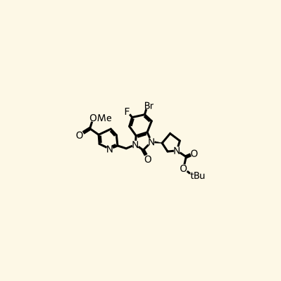 COC(=O)c1ccc(Cn2c(=O)n([C@H]3CCN(C(=O)OC(C)(C)C)C3)c3cc(Br)c(F)cc32)nc1